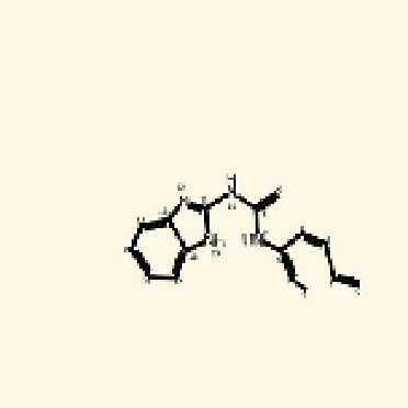 C=C/C=C\C(=C/C)NC(=C)Nc1nc2ccccc2[nH]1